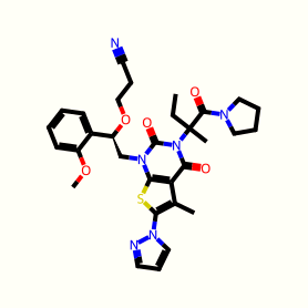 CCC(C)(C(=O)N1CCCC1)n1c(=O)c2c(C)c(-n3cccn3)sc2n(C[C@H](OCCC#N)c2ccccc2OC)c1=O